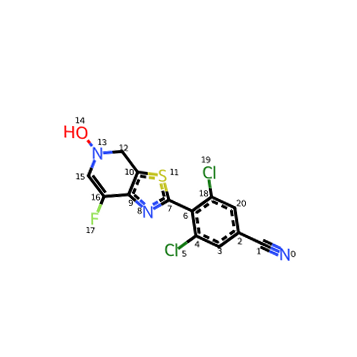 N#Cc1cc(Cl)c(-c2nc3c(s2)CN(O)C=C3F)c(Cl)c1